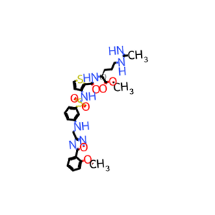 COC(=O)[C@H](CCCNC(C)=N)NC(=O)c1sccc1NS(=O)(=O)c1cccc(NCc2noc(-c3ccccc3OC)n2)c1